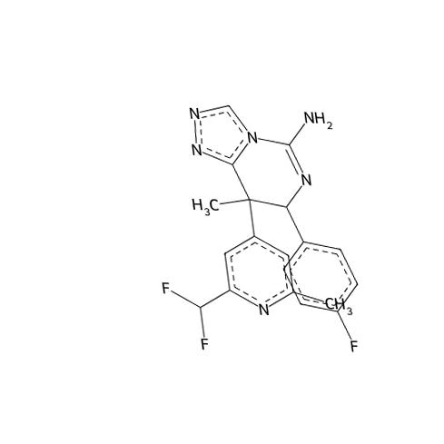 Cc1cc(C2(C)c3nncn3C(N)=NC2c2ccc(F)cc2)cc(C(F)F)n1